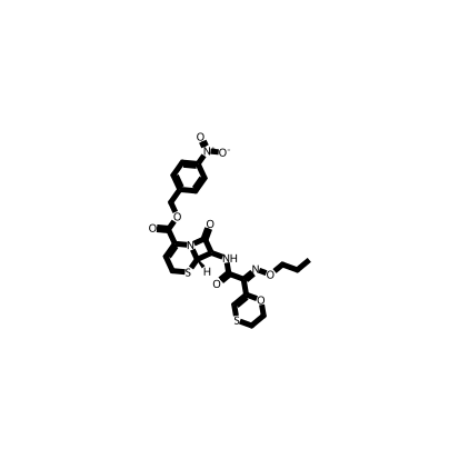 CCCON=C(C(=O)NC1C(=O)N2C(C(=O)OCc3ccc([N+](=O)[O-])cc3)=CCS[C@@H]12)C1=CSCCO1